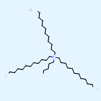 CCCCCCCCCCCC[N+](CCCCC)(CCCCCCCCCCCC)CCCCCCCCCCCC